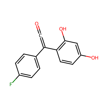 O=C=C(c1ccc(F)cc1)c1ccc(O)cc1O